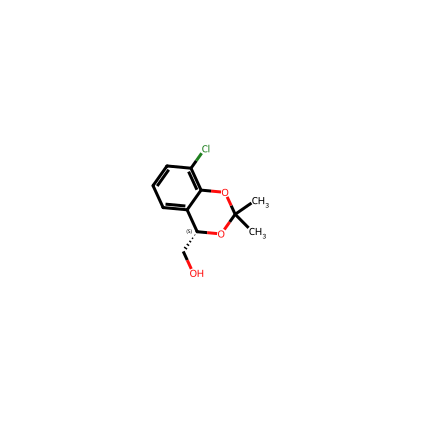 CC1(C)Oc2c(Cl)cccc2[C@@H](CO)O1